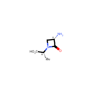 CCC(C)[C@H](C(=O)O)N1C[C@H](N)C1=O